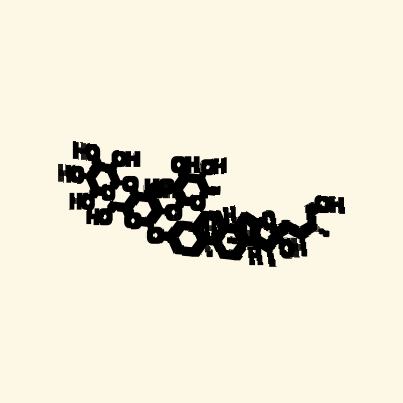 CC1O[C@@H](O[C@H]2C(O)[C@H](O[C@@H]3OC(O)[C@H](O)C(O)[C@@H]3O)C(CO)O[C@H]2OC2CC[C@@]3(C)C(=CC[C@H]4[C@@H]5CC6OC(O)(CC[C@@H](C)CO)[C@@H](C)[C@@H]6[C@@]5(C)CC[C@@H]43)C2)[C@@H](O)C(O)[C@H]1O